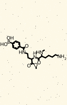 CNC(CCCCN)C(=O)NC(CCNC(=O)c1ccc(B(O)O)cc1)C(=O)OC